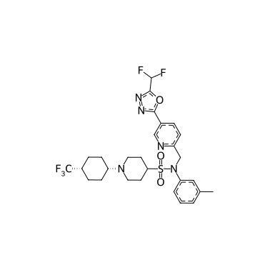 Cc1cccc(N(Cc2ccc(-c3nnc(C(F)F)o3)cn2)S(=O)(=O)C2CCN([C@H]3CC[C@@H](C(F)(F)F)CC3)CC2)c1